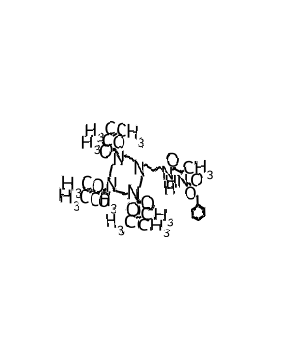 CC(NC(=O)OCc1ccccc1)C(=O)NCCCN1CCN(C(=O)OC(C)(C)C)CCN(C(=O)OC(C)(C)C)CCN(C(=O)OC(C)(C)C)CC1